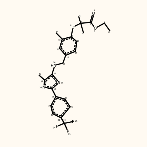 CCOC(=O)C(C)(C)Oc1ccc(CNc2sc(-c3ccc(C(F)(F)F)cc3)nc2C)cc1C